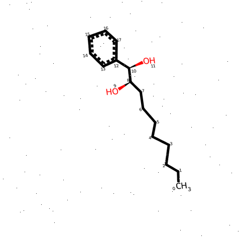 CCCCCCCC[C@@H](O)[C@H](O)c1ccccc1